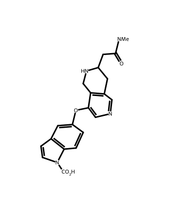 CNC(=O)CC1Cc2cncc(Oc3ccc4c(ccn4C(=O)O)c3)c2CN1